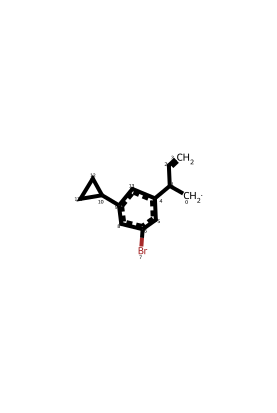 [CH2]C(C=C)c1cc(Br)cc(C2CC2)c1